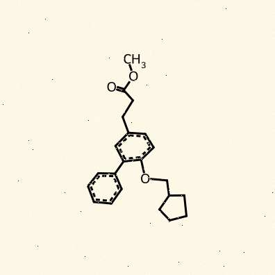 COC(=O)CCc1ccc(OCC2CCCC2)c(-c2ccccc2)c1